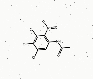 CC(=O)Nc1cc(Cl)c(Cl)c(Cl)c1[N+](=O)[O-]